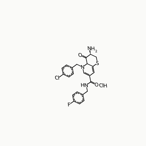 Cl.N[C@H]1CSC2=CC(C(=O)NCc3ccc(F)cc3)=CN(Cc3ccc(Cl)cc3)C2C1=O